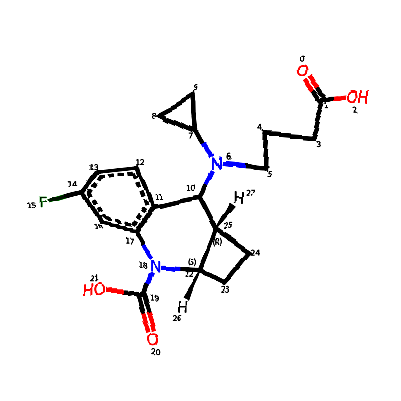 O=C(O)CCCN(C1CC1)C1c2ccc(F)cc2N(C(=O)O)[C@H]2CC[C@@H]12